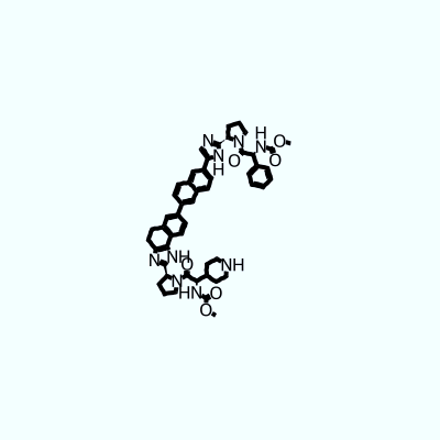 COC(=O)N[C@H](C(=O)N1CCC[C@H]1c1nc2c([nH]1)-c1ccc(-c3ccc4cc(-c5cnc([C@@H]6CCCN6C(=O)[C@H](NC(=O)OC)c6ccccc6)[nH]5)ccc4c3)cc1CC2)C1CCNCC1